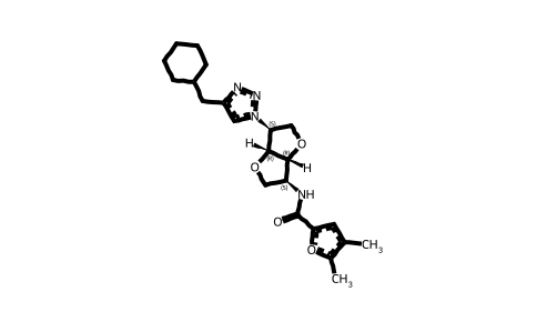 Cc1cc(C(=O)N[C@H]2CO[C@H]3[C@@H]2OC[C@@H]3n2cc(CC3CCCCC3)nn2)oc1C